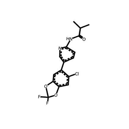 CC(C)C(=O)Nc1ccc(-c2cc3c(cc2Cl)OC(F)(F)O3)cn1